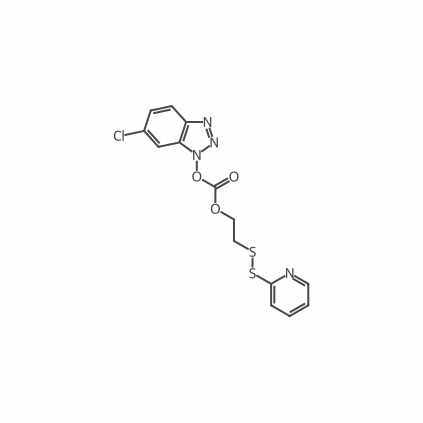 O=C(OCCSSc1ccccn1)On1nnc2ccc(Cl)cc21